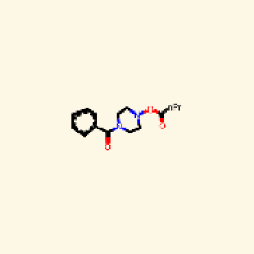 CCCC(=O)ON1CCN(C(=O)c2ccccc2)CC1